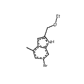 CCOCc1cc2c(C)cc(Br)cc2[nH]1